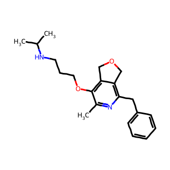 Cc1nc(Cc2ccccc2)c2c(c1OCCCNC(C)C)COC2